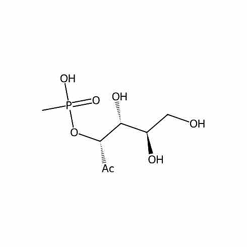 CC(=O)[C@H](OP(C)(=O)O)[C@H](O)[C@H](O)CO